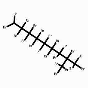 Br[C](Br)C(Br)(Br)C(Br)(Br)C(Br)(Br)C(Br)(Br)C(Br)(Br)C(Br)(Br)C(Br)(C(Br)(Br)Br)C(Br)(Br)Br